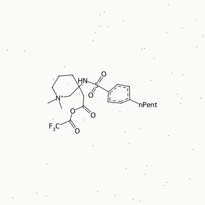 CCCCCc1ccc(S(=O)(=O)NC2(CC(=O)OC(=O)C(F)(F)F)CCC[N+](C)(C)C2)cc1